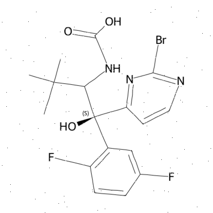 CC(C)(C)C(NC(=O)O)[C@](O)(c1ccnc(Br)n1)c1cc(F)ccc1F